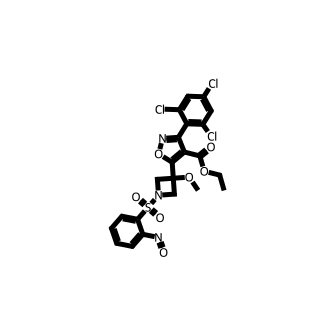 CCOC(=O)c1c(-c2c(Cl)cc(Cl)cc2Cl)noc1C1(OC)CN(S(=O)(=O)c2ccccc2N=O)C1